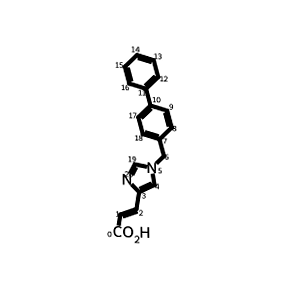 O=C(O)C=Cc1cn(Cc2ccc(-c3ccccc3)cc2)cn1